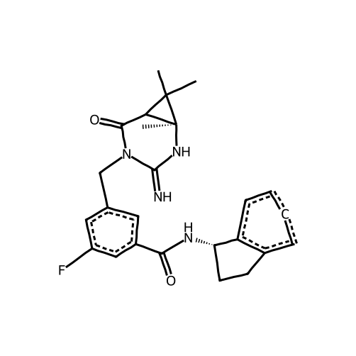 CC1(C)C2C(=O)N(Cc3cc(F)cc(C(=O)N[C@H]4CCc5ccccc54)c3)C(=N)N[C@@]21C